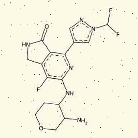 NC1COCCC1Nc1nc(-c2cnn(C(F)F)c2)c2c(c1F)CNC2=O